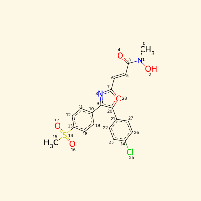 CN(O)C(=O)C=Cc1nc(-c2ccc(S(C)(=O)=O)cc2)c(-c2ccc(Cl)cc2)o1